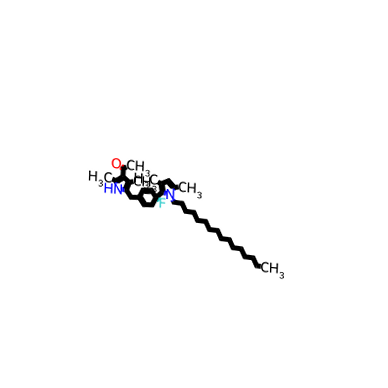 CCCCCCCCCCCCCCCCn1c(C)cc(C)c1C1(F)C=CC(Cc2[nH]c(C)c(C(C)=O)c2C)=CC1